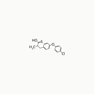 CC(Cc1ccc(Oc2ccc(Cl)cc2)cc1)C(O)=S